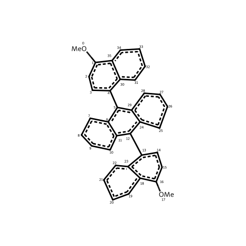 COc1ccc(-c2c3ccccc3c(-c3ccc(OC)c4ccccc34)c3ccccc23)c2ccccc12